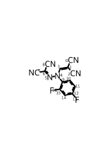 N#CC(C#N)=CN(N=C(C#N)C#N)c1ccc(F)cc1F